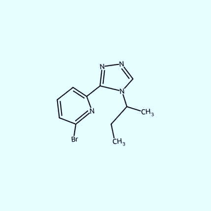 CCC(C)n1cnnc1-c1cccc(Br)n1